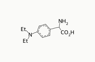 CCN(CC)c1ccc(C(N)C(=O)O)cc1